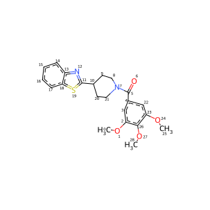 COc1cc(C(=O)N2CCC(c3nc4ccccc4s3)CC2)cc(OC)c1OC